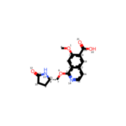 COc1cc2c(OC[C@@H]3CCC(=O)N3)nccc2cc1C(=O)O